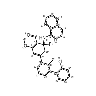 COC1=C(C=O)C(F)(Nc2nccc3nccnc23)CC(c2cccc(-c3ccccc3Cl)c2C)=C1